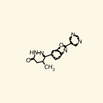 CC1CC(=O)NN=C1c1ccc2nc(-c3cncnc3)oc2c1